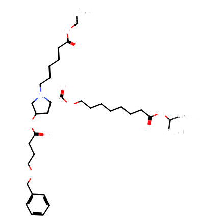 CCCCCCCCCCCOC(=O)CCCCCN1CC(OC(=O)CCCOCc2ccccc2)C[C@H]1C(=O)OCCCCCCCC(=O)OC(CCCCCCCC)CCCCCCCC